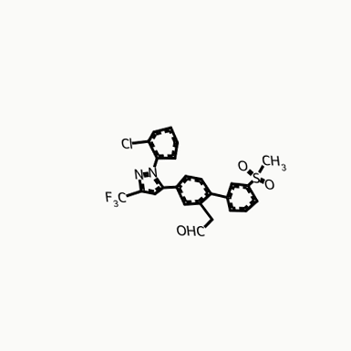 CS(=O)(=O)c1cccc(-c2ccc(-c3cc(C(F)(F)F)nn3-c3ccccc3Cl)cc2CC=O)c1